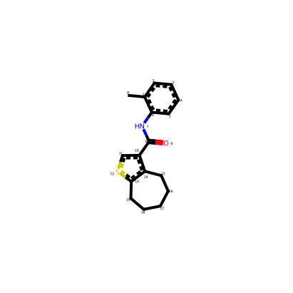 Cc1ccccc1NC(=O)c1csc2c1CCCCC2